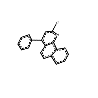 Clc1cc(-c2ccccc2)c2ccc3cccnc3c2n1